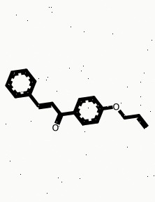 C=CCOc1ccc(C(=O)C=Cc2ccccc2)cc1